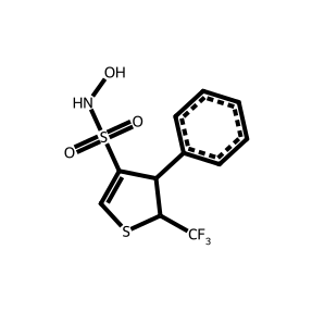 O=S(=O)(NO)C1=CSC(C(F)(F)F)C1c1ccccc1